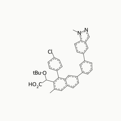 Cc1cc2ccc(-c3cccc(-c4ccc5c(cnn5C)c4)c3)cc2c(-c2ccc(Cl)cc2)c1C(OC(C)(C)C)C(=O)O